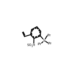 C=Cc1cccc([Si](C(C)C)(C(C)C)C(C)C)c1S(=O)(=O)O